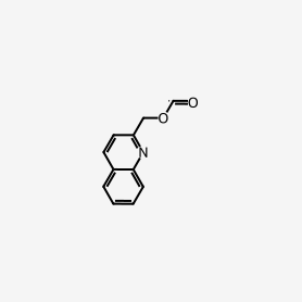 O=[C]OCc1ccc2ccccc2n1